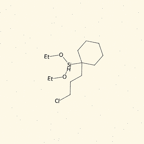 CCO[SiH](OCC)C1(CCCCl)CCCCC1